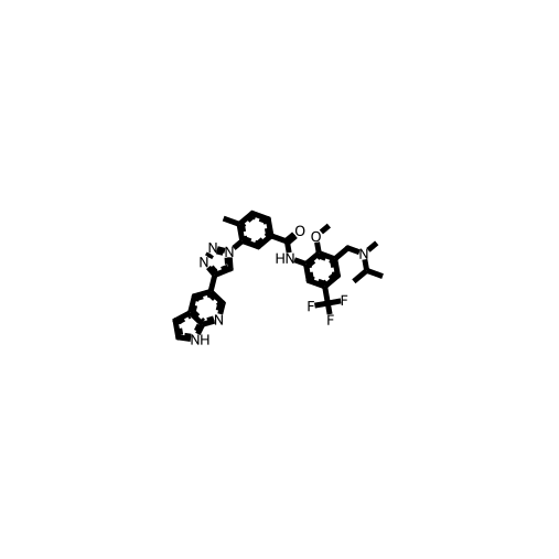 COc1c(CN(C)C(C)C)cc(C(F)(F)F)cc1NC(=O)c1ccc(C)c(-n2cc(-c3cnc4[nH]ccc4c3)nn2)c1